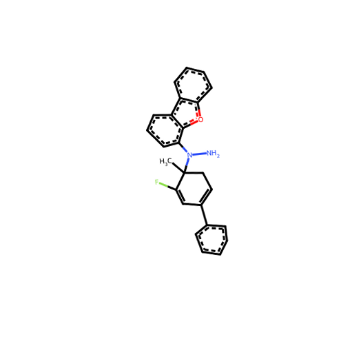 CC1(N(N)c2cccc3c2oc2ccccc23)CC=C(c2ccccc2)C=C1F